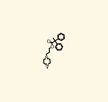 CN1CCN(CCCOC(=O)C(C)(c2ccccc2)c2ccccc2)CC1